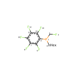 CCCCCCP(CF)c1c(F)c(F)c(F)c(F)c1F